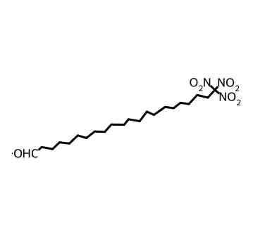 O=[C]CCCCCCCCCCCCCCCCCCCCC([N+](=O)[O-])([N+](=O)[O-])[N+](=O)[O-]